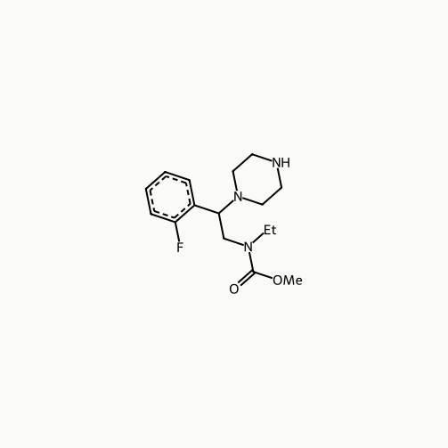 CCN(CC(c1ccccc1F)N1CCNCC1)C(=O)OC